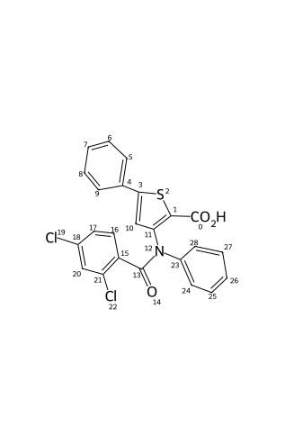 O=C(O)c1sc(-c2ccccc2)cc1N(C(=O)c1ccc(Cl)cc1Cl)c1ccccc1